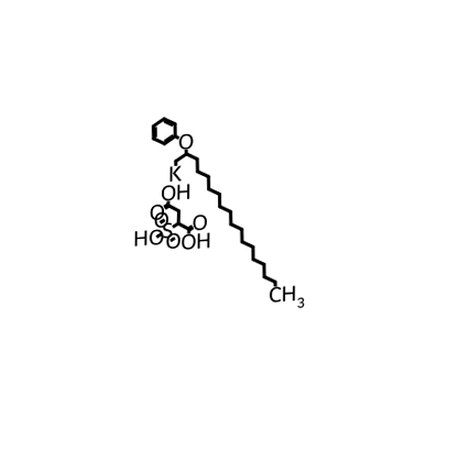 CCCCCCCCCCCCCCCCC([CH2][K])Oc1ccccc1.O=C(O)CC(C(=O)O)S(=O)(=O)O